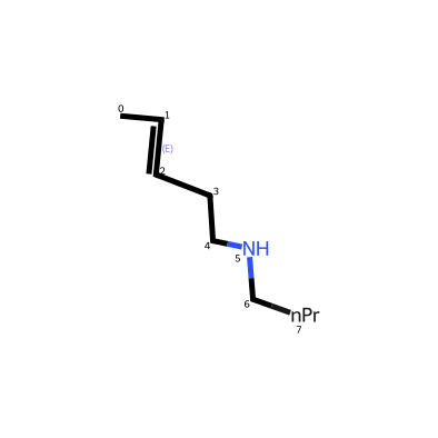 C/C=C/CCNCCCC